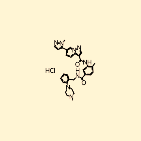 Cc1ccc(C(=O)NCc2ccccc2N2CCN(C)CC2)cc1NC(=O)c1cnn2cc(-c3ccnn3C)ccc12.Cl